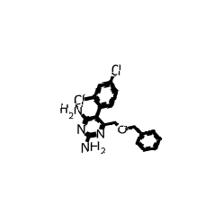 Nc1nc(N)c(-c2ccc(Cl)cc2Cl)c(COCc2ccccc2)n1